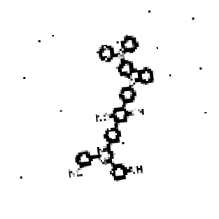 N#Cc1cccc(-c2cc(-c3ccc(-c4cc(C#N)c(-c5ccc(-n6c7ccccc7c7cc(N(c8ccccc8)c8ccccc8)ccc76)cc5)cc4C#N)cc3)nc(-c3cccc(C#N)c3)n2)c1